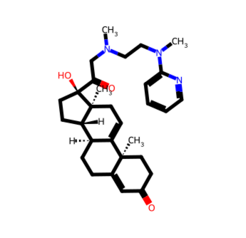 CN(CCN(C)c1ccccn1)CC(=O)[C@@]1(O)CC[C@H]2[C@@H]3CCC4=CC(=O)CC[C@]4(C)C3=CC[C@@]21C